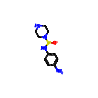 Nc1ccc(N[S+]([O-])N2CCNCC2)cc1